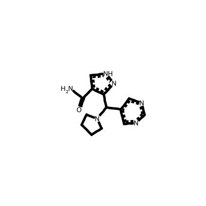 NC(=O)c1c[nH]nc1C(c1cncnc1)N1CCCC1